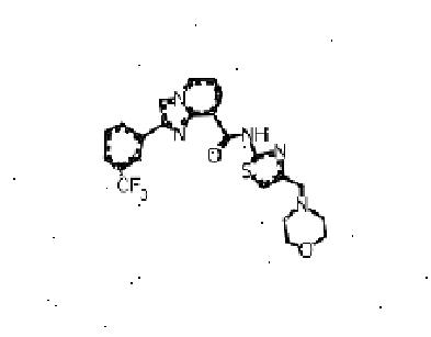 O=C(Nc1nc(CN2CCOCC2)cs1)c1cccn2cc(-c3cccc(C(F)(F)F)c3)nc12